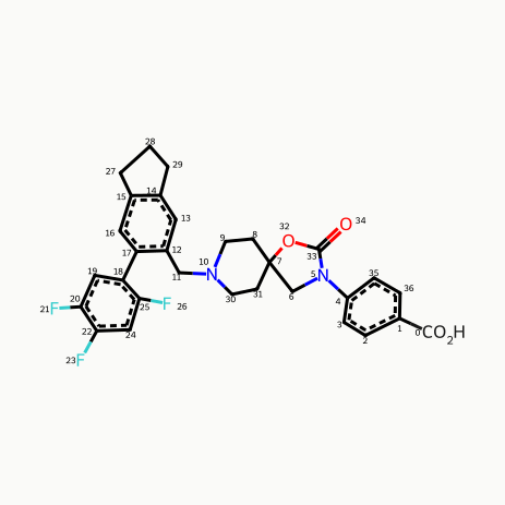 O=C(O)c1ccc(N2CC3(CCN(Cc4cc5c(cc4-c4cc(F)c(F)cc4F)CCC5)CC3)OC2=O)cc1